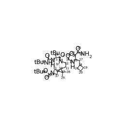 CC(C)(C)NC(=O)N[C@H](C(=O)N1C[C@]2(C[C@H]1C(=O)NC(CC1CCC1)C(=O)C(N)=O)C(C)(C)C21CN(C(=O)OC(C)(C)C)C1)C(C)(C)C